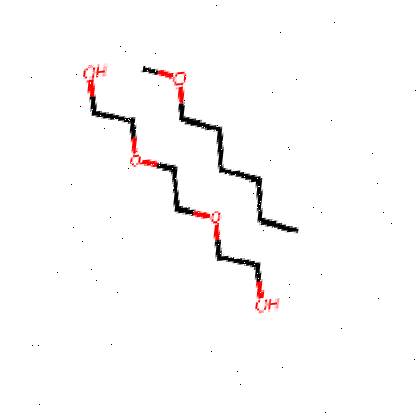 CCCCCCOC.OCCOCCOCCO